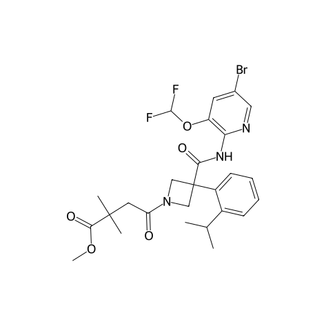 COC(=O)C(C)(C)CC(=O)N1CC(C(=O)Nc2ncc(Br)cc2OC(F)F)(c2ccccc2C(C)C)C1